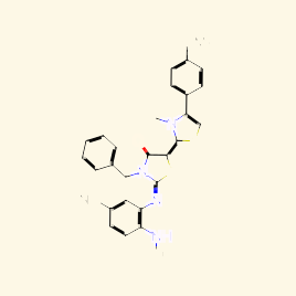 CCNc1ccc(C#N)cc1/N=C1/S/C(=C2\SC=C(c3ccc(OC)cc3)N2C)C(=O)N1Cc1ccccc1